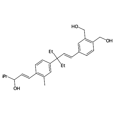 CCC(C=Cc1ccc(CO)c(CO)c1)(CC)c1ccc(C=CC(O)C(C)C)c(C)c1